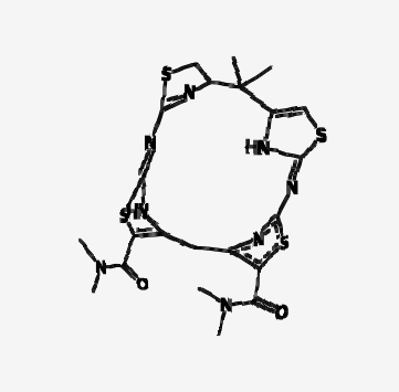 CN(C)C(=O)C1=C2Cc3nc(sc3C(=O)N(C)C)/N=C3\NC(=CS3)C(C)(C)C3CSC(=N3)/N=C(\N2)S1